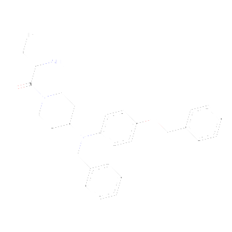 CC(C)CC(N)C(=O)N1CCC(N(Cc2ccccc2)c2ccc(OCc3ccccc3)cc2)CC1